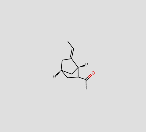 CC=C1C[C@H]2CC(C(C)=O)[C@@H]1C2